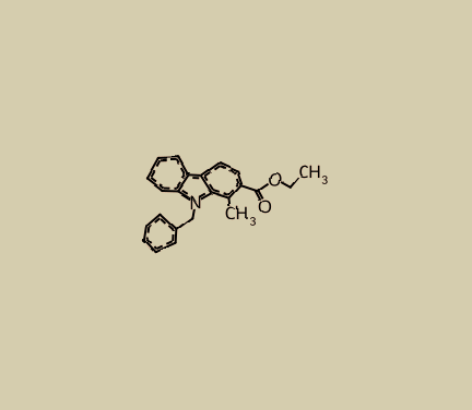 CCOC(=O)c1ccc2c3ccccc3n(Cc3ccccc3)c2c1C